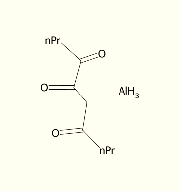 CCCC(=O)CC(=O)C(=O)CCC.[AlH3]